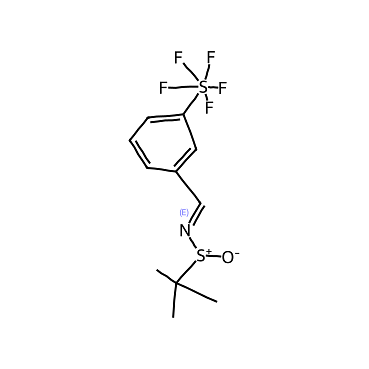 CC(C)(C)[S+]([O-])/N=C/c1cccc(S(F)(F)(F)(F)F)c1